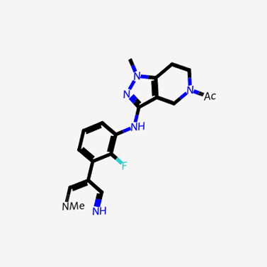 CN/C=C(\C=N)c1cccc(Nc2nn(C)c3c2CN(C(C)=O)CC3)c1F